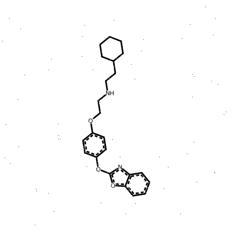 c1ccc2oc(Oc3ccc(OCCNCCC4CCCCC4)cc3)nc2c1